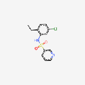 CCc1ccc(Cl)cc1NS(=O)(=O)c1cccnc1